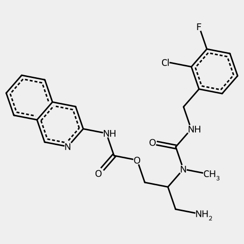 CN(C(=O)NCc1cccc(F)c1Cl)C(CN)COC(=O)Nc1cc2ccccc2cn1